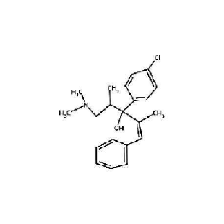 CC(=Cc1ccccc1)C(O)(c1ccc(Cl)cc1)C(C)CN(C)C